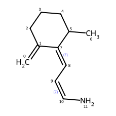 C=C1CCCC(C)/C1=C/C=C\N